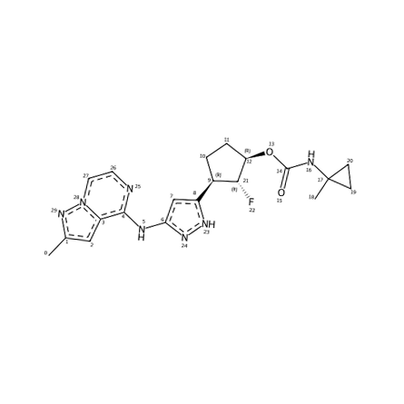 Cc1cc2c(Nc3cc([C@H]4CC[C@@H](OC(=O)NC5(C)CC5)[C@@H]4F)[nH]n3)nccn2n1